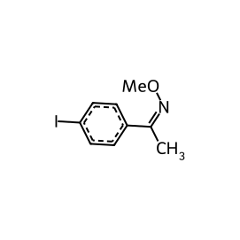 CO/N=C(/C)c1ccc(I)cc1